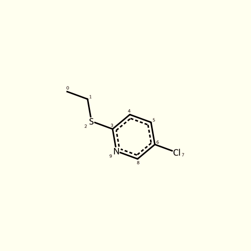 CCSc1ccc(Cl)cn1